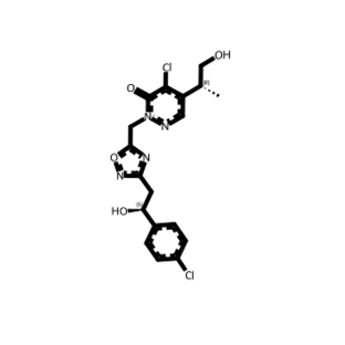 C[C@@H](CO)c1cnn(Cc2nc(C[C@H](O)c3ccc(Cl)cc3)no2)c(=O)c1Cl